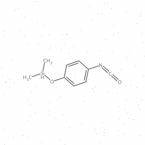 C[SiH](C)Oc1ccc(N=C=O)cc1